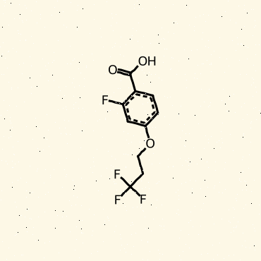 O=C(O)c1ccc(OCCC(F)(F)F)cc1F